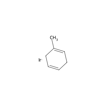 CC1=CCC=CC1.[Ir]